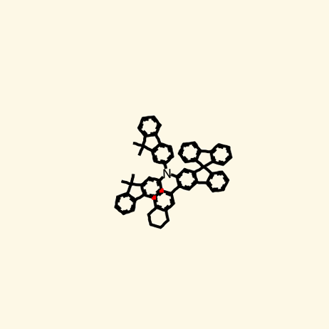 CC1(C)c2ccccc2-c2ccc(N(c3ccc4c(c3)C(C)(C)c3ccccc3-4)c3cc4c(cc3-c3ccc5c(c3)CCCC5)-c3ccccc3C43c4ccccc4-c4ccccc43)cc21